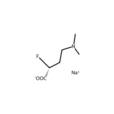 CN(C)CC[C@@H](F)C(=O)[O-].[Na+]